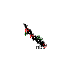 C=CCCCOc1ccc(COC2CCC(c3ccc(-c4ccc(OCCCC)cc4)c(F)c3F)CC2)cc1F